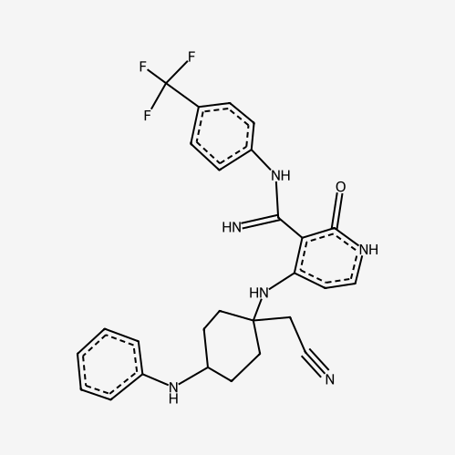 N#CCC1(Nc2cc[nH]c(=O)c2C(=N)Nc2ccc(C(F)(F)F)cc2)CCC(Nc2ccccc2)CC1